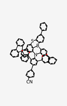 N#Cc1ccc(-c2cc(-c3ccccc3)c(N3c4cc(-c5ccccc5)ccc4B4c5ccc(-c6ccccc6)cc5Sc5cc(C6(c7ccccc7)c7ccccc7-c7ccccc76)cc3c54)c(-c3ccccc3)c2)cc1